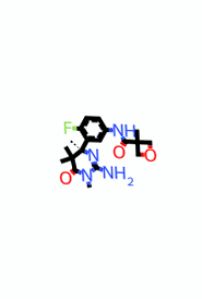 CN1C(=O)C(C)(C)[C@@](C)(c2cc(NC(=O)C3(C)COC3)ccc2F)N=C1N